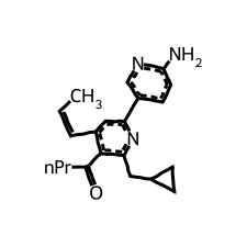 C/C=C\c1cc(-c2ccc(N)nc2)nc(CC2CC2)c1C(=O)CCC